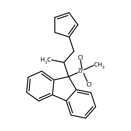 CC(CC1=CC=CC1)[C]1([Zr]([CH3])([Cl])[Cl])c2ccccc2-c2ccccc21